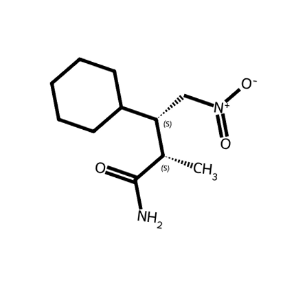 C[C@H](C(N)=O)[C@@H](C[N+](=O)[O-])C1CCCCC1